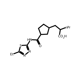 CCCC(CC1CCC(C(=O)Nc2nnc(CC)s2)C1)C(=O)O